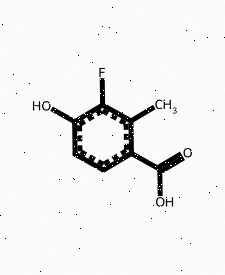 Cc1c(C(=O)O)ccc(O)c1F